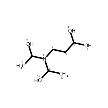 CC(O)N(CCC(O)O)C(C)O